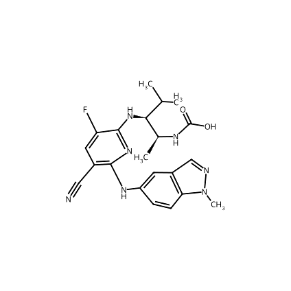 CC(C)[C@H](Nc1nc(Nc2ccc3c(cnn3C)c2)c(C#N)cc1F)[C@H](C)NC(=O)O